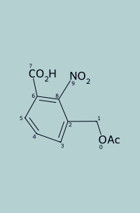 CC(=O)OCc1cccc(C(=O)O)c1[N+](=O)[O-]